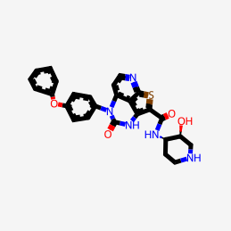 O=C(N[C@H]1CCNC[C@@H]1O)c1sc2nccc3c2c1NC(=O)N3c1ccc(Oc2ccccc2)cc1